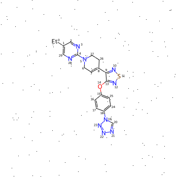 CCc1cnc(N2CC=C(c3nsnc3Oc3ccc(-n4cnnn4)cc3)CC2)nc1